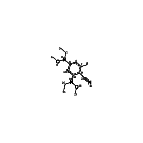 CCN(OC)c1cc(C)c(C#N)c(N(CC)OC)n1